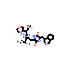 CCC(c1nc(/C=c2\[nH]c(=O)/c(=C/c3cncc4ccccc34)[nH]c2=O)c(C(C)C)[nH]1)C1COCCN1